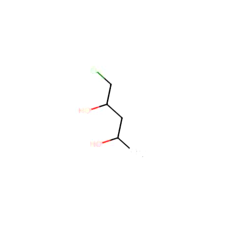 [CH2]C(O)CC(O)CCl